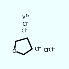 C1CCOC1.[Cl-].[Cl-].[Cl-].[Cl-].[Cl-].[V+5]